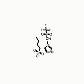 CCCCS(=O)(=O)[O-].C[n+]1cc[nH]c1.O=S(=O)(O)C(F)(F)F